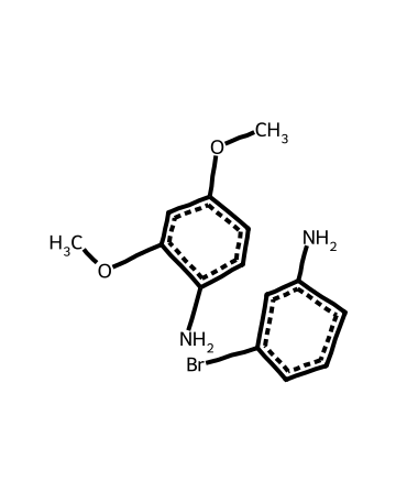 COc1ccc(N)c(OC)c1.Nc1cccc(Br)c1